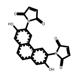 O=C1C=CC(=O)N1c1cc2c(ccc3cc(O)c(N4C(=O)C=CC4=O)cc32)cc1O